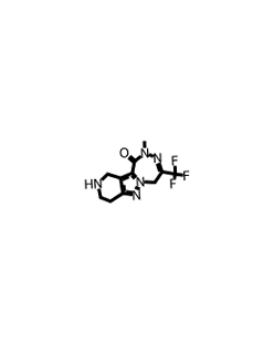 CN1N=C(C(F)(F)F)Cn2nc3c(c2C1=O)CNCC3